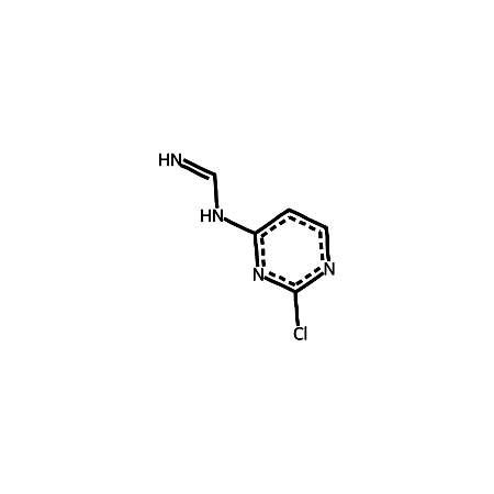 N=CNc1ccnc(Cl)n1